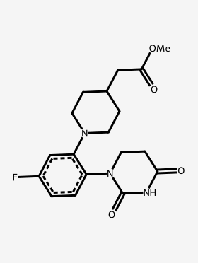 COC(=O)CC1CCN(c2cc(F)ccc2N2CCC(=O)NC2=O)CC1